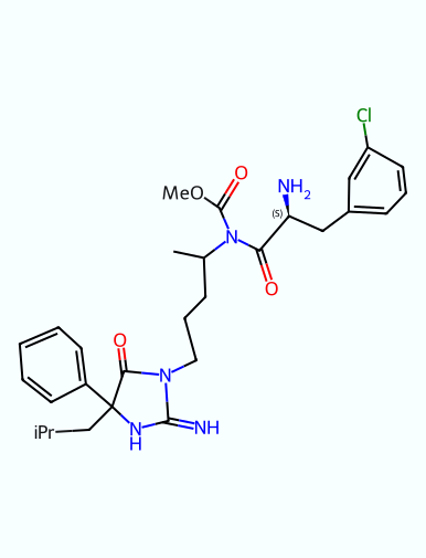 COC(=O)N(C(=O)[C@@H](N)Cc1cccc(Cl)c1)C(C)CCCN1C(=N)NC(CC(C)C)(c2ccccc2)C1=O